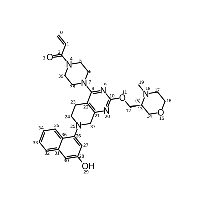 C=CC(=O)N1CCN(c2nc(OC[C@@H]3COCCN3C)nc3c2CCN(c2cc(O)cc4ccccc24)C3)CC1